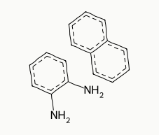 Nc1ccccc1N.c1ccc2ccccc2c1